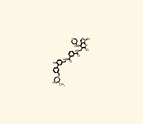 CCc1nc2c(cnn2CC)c(NC2CCOCC2)c1CNC(=O)c1cccc(C(=O)NCc2ccc(F)c(-c3cccc(CN4CCN[C@@H](C)C4)c3)c2)c1